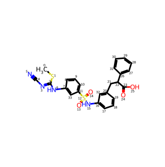 CSC(=NC#N)Nc1cccc(S(=O)(=O)Nc2cccc(CC(C(=O)O)c3ccccc3)c2)c1